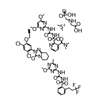 C#CCOc1cc(-n2nc3n(c2=O)CCCC3)c(Cl)cc1Cl.COc1cc(OC)nc(NC(=O)NS(=O)(=O)c2ncccc2C(=O)N(C)C)n1.COc1nc(C)nc(NC(=O)NS(=O)(=O)c2ccccc2CCC(F)(F)F)n1.C[S+](C)C.O=C(O)CNCP(=O)([O-])O